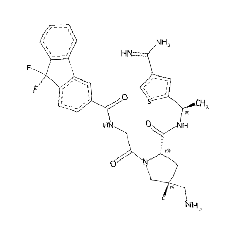 C[C@@H](NC(=O)[C@@H]1C[C@](F)(CN)CN1C(=O)CNC(=O)c1ccc2c(c1)-c1ccccc1C2(F)F)c1cc(C(=N)N)cs1